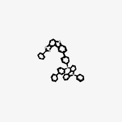 c1ccc(-c2ccc(N(c3ccc(-c4ccc5oc6ccc7oc(-c8ccccc8)nc7c6c5c4)cc3)c3cccc4c3c3ccccc3n4-c3ccccc3)cc2)cc1